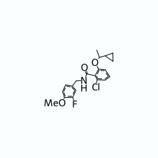 COc1ccc(CNC(=O)c2c(Cl)cccc2OC(C)C2CC2)cc1F